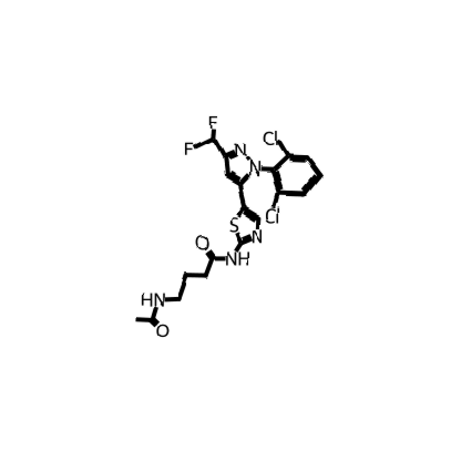 CC(=O)NCCCC(=O)Nc1ncc(-c2cc(C(F)F)nn2-c2c(Cl)cccc2Cl)s1